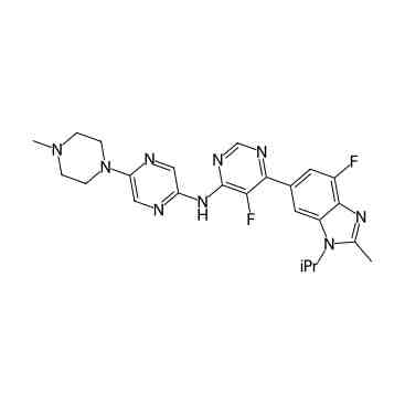 Cc1nc2c(F)cc(-c3ncnc(Nc4cnc(N5CCN(C)CC5)cn4)c3F)cc2n1C(C)C